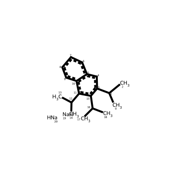 CC(C)c1cc2ccccc2c(C(C)C)c1C(C)C.[NaH].[NaH]